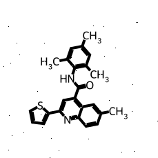 Cc1cc(C)c(NC(=O)c2cc(-c3cccs3)nc3ccc(C)cc23)c(C)c1